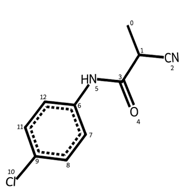 CC(C#N)C(=O)Nc1ccc(Cl)cc1